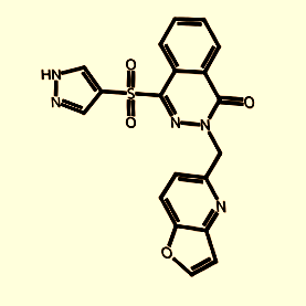 O=c1c2ccccc2c(S(=O)(=O)c2cn[nH]c2)nn1Cc1ccc2occc2n1